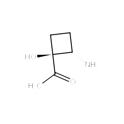 CC(=O)[C@]1(O)CC[C@@H]1N